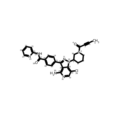 CC#CC(=O)N1CCCC(n2nc(-c3ccc(C(=O)Nc4ccccn4)cc3)c3c(N)ncc(Cl)c32)C1